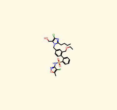 CCCCc1nc(Cl)c(CO)n1Cc1ccc(-c2ccccc2S(=O)(=O)Nc2noc(C)c2F)c(COCC)c1